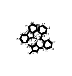 CC1=CC(C)[C]([Zr](=[C](c2ccccc2)c2ccccc2)[CH]2c3ccccc3-c3ccccc32)=C1C